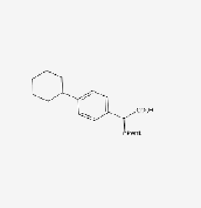 CCCCCC(C(=O)O)c1ccc(C2CCCCC2)cc1